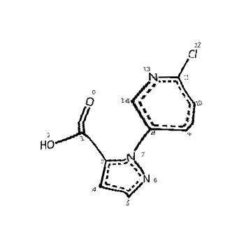 O=C(O)c1ccnn1-c1ccc(Cl)nc1